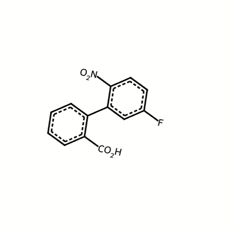 O=C(O)c1ccccc1-c1cc(F)ccc1[N+](=O)[O-]